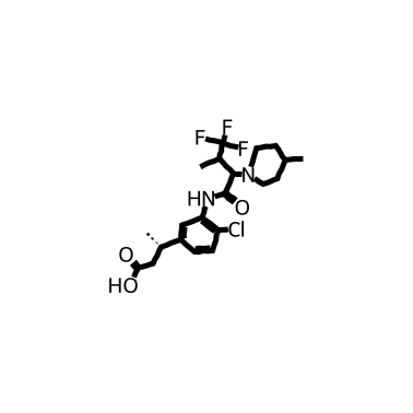 CC1CCN(C(C(=O)Nc2cc([C@@H](C)CC(=O)O)ccc2Cl)C(C)C(F)(F)F)CC1